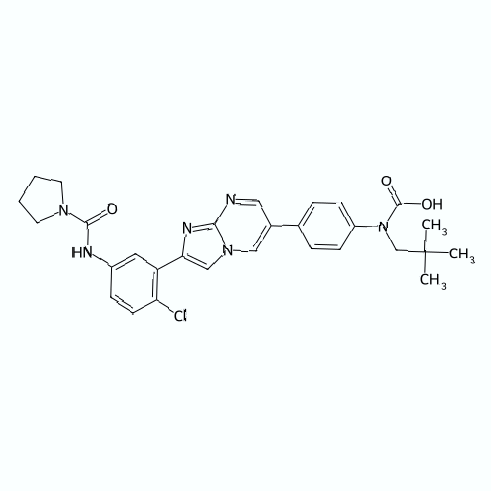 CC(C)(C)CN(C(=O)O)c1ccc(-c2cnc3nc(-c4cc(NC(=O)N5CCCC5)ccc4Cl)cn3c2)cc1